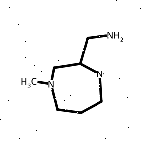 CN1CCC[N]C(CN)C1